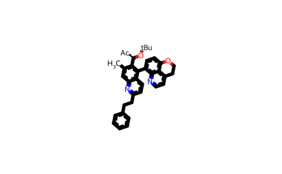 CC(=O)[C@@H](OC(C)(C)C)c1c(C)cc2nc(CCc3ccccc3)ccc2c1-c1ccc2c3c(ccnc13)CCO2